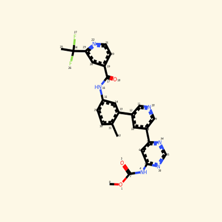 COC(=O)Nc1cc(-c2cncc(-c3cc(NC(=O)c4ccnc(C(C)(F)F)c4)ccc3C)c2)ncn1